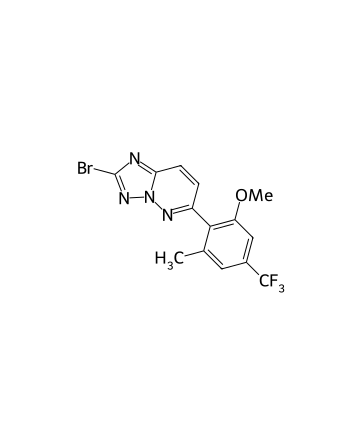 COc1cc(C(F)(F)F)cc(C)c1-c1ccc2nc(Br)nn2n1